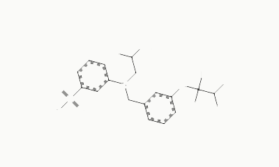 CC(C)S(=O)(=O)c1cccc(N(Cc2cccc(OC(F)(F)C(F)F)c2)CC(O)C(F)(F)F)c1